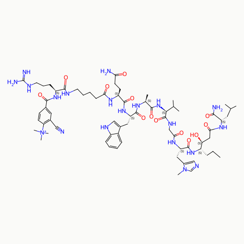 CCC[C@H](NC(=O)[C@H](Cc1cncn1C)NC(=O)CNC(=O)[C@@H](NC(=O)[C@H](C)NC(=O)[C@H](Cc1c[nH]c2ccccc12)NC(=O)[C@H](CCC(N)=O)NC(=O)CCCCNC(=O)[C@H](CCCNC(=N)N)NC(=O)c1ccc([N+](C)(C)C)c(C#N)c1)C(C)C)[C@@H](O)CC(=O)N[C@@H](CC(C)C)C(N)=O